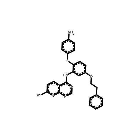 CC(C)c1ccc2c(Nc3cc(OCCc4ccccc4)ccc3Sc3ccc(N)cc3)ncnc2n1